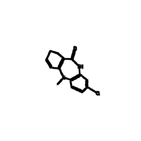 CN1C2=C(CCC=C2)C(=O)Nc2cc(Cl)ccc21